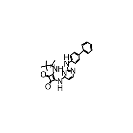 C[C@@H](Nc1c(Nc2ccnc(Nc3ccc(-c4ccccc4)cc3)n2)c(=O)c1=O)C(C)(C)C